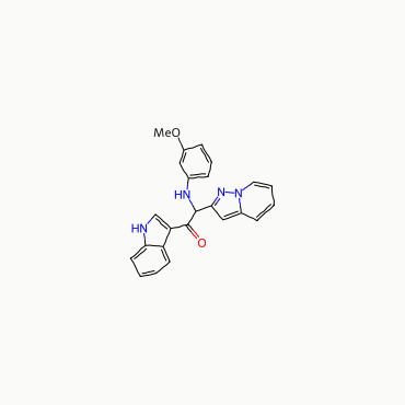 COc1cccc(NC(C(=O)c2c[nH]c3ccccc23)c2cc3ccccn3n2)c1